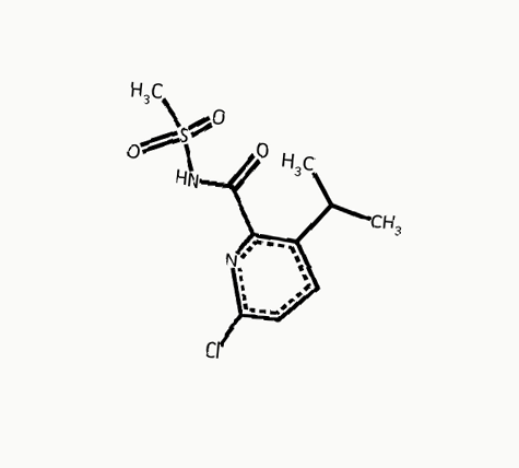 CC(C)c1ccc(Cl)nc1C(=O)NS(C)(=O)=O